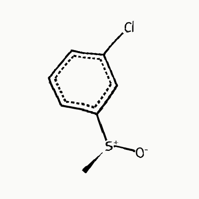 C[S@+]([O-])c1cccc(Cl)c1